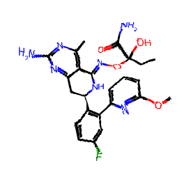 CCC(O)(O/N=C1\N[C@@H](c2ccc(F)cc2-c2cccc(OC)n2)Cc2nc(N)nc(C)c21)C(N)=O